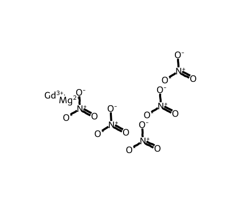 O=[N+]([O-])[O-].O=[N+]([O-])[O-].O=[N+]([O-])[O-].O=[N+]([O-])[O-].O=[N+]([O-])[O-].[Gd+3].[Mg+2]